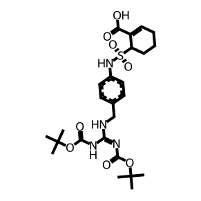 CC(C)(C)OC(=O)N=C(NCc1ccc(NS(=O)(=O)C2CCCC=C2C(=O)O)cc1)NC(=O)OC(C)(C)C